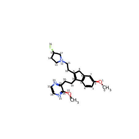 COc1ccc2c(c1)CC(CCN1CCC(F)C1)=C2CCc1nccnc1OC